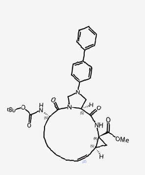 COC(=O)[C@@]12C[C@H]1/C=C\CCCCC[C@H](NC(=O)OC(C)(C)C)C(=O)N1CN(c3ccc(-c4ccccc4)cc3)C[C@H]1C(=O)N2